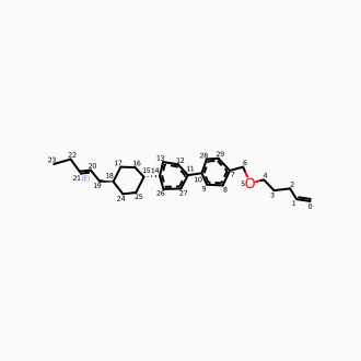 C=CCCCOCc1ccc(-c2ccc([C@H]3CC[C@H](C/C=C/CC)CC3)cc2)cc1